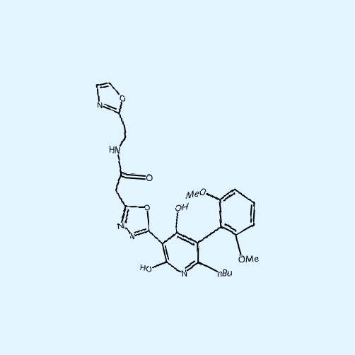 CCCCc1nc(O)c(-c2nnc(CC(=O)NCc3ncco3)o2)c(O)c1-c1c(OC)cccc1OC